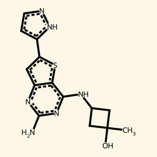 CC1(O)CC(Nc2nc(N)nc3cc(-c4ccn[nH]4)sc23)C1